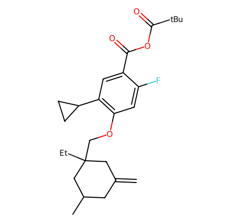 C=C1CC(C)CC(CC)(COc2cc(F)c(C(=O)OC(=O)C(C)(C)C)cc2C2CC2)C1